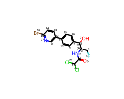 O=C(N[C@H](CF)[C@H](O)c1ccc(-c2ccc(Br)nc2)cc1)C(Cl)Cl